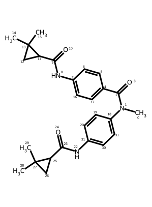 CN(C(=O)c1ccc(NC(=O)C2CC2(C)C)cc1)c1ccc(NC(=O)C2CC2(C)C)cc1